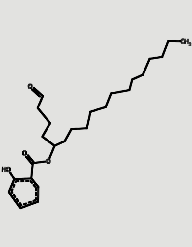 CCCCCCCCCCCCCC(CCCC=O)OC(=O)c1ccccc1O